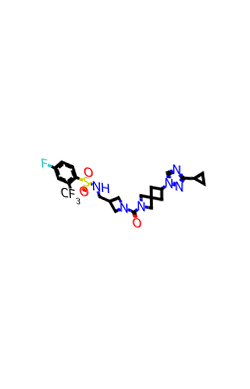 O=C(N1CC(CNS(=O)(=O)c2ccc(F)cc2C(F)(F)F)C1)N1CC2(CC(n3cnc(C4CC4)n3)C2)C1